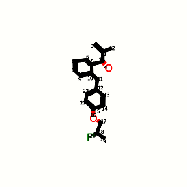 C=C(C)C(=O)c1ccccc1Cc1ccc(OCC(C)F)cc1